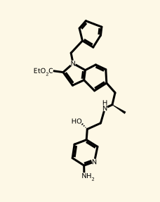 CCOC(=O)c1cc2cc(C[C@@H](C)NC[C@@H](O)c3ccc(N)nc3)ccc2n1Cc1ccccc1